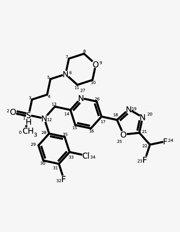 C[SH](=O)(CCCN1CCOCC1)N(Cc1ccc(-c2nnc(C(F)F)o2)cn1)c1ccc(F)c(Cl)c1